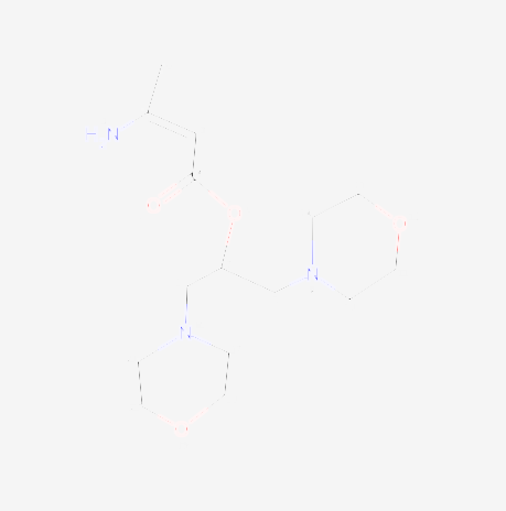 C/C(N)=C/C(=O)OC(CN1CCOCC1)CN1CCOCC1